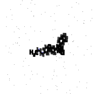 C/C=C\C=C/c1ccc2oc3cc(-c4nc(Cl)nc(C5C=c6ccccc6=CC5)n4)ccc3c2c1